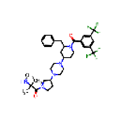 CNC(C)(C)C(=O)N1CCC(N2CCN(C3CCN(C(=O)c4cc(C(F)(F)F)cc(C(F)(F)F)c4)C(Cc4ccccc4)C3)CC2)C1